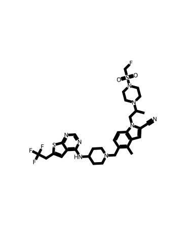 Cc1c(CN2CCC(Nc3ncnc4sc(CC(F)(F)F)cc34)CC2)ccc2c1cc(C#N)n2CC(C)N1CCN(S(=O)(=O)CF)CC1